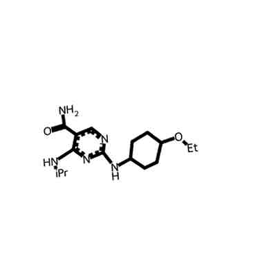 CCOC1CCC(Nc2ncc(C(N)=O)c(NC(C)C)n2)CC1